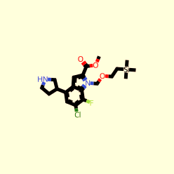 COC(=O)c1cc2c(C3CCNC3)cc(Cl)c(F)c2n1COCC[Si](C)(C)C